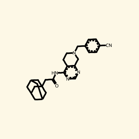 N#Cc1ccc(CN2CCc3c(ncnc3NC(=O)CC34CC5CC(CC(C5)C3)C4)C2)cc1